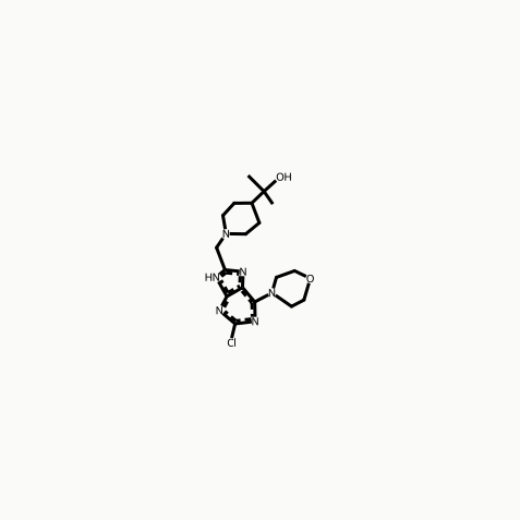 CC(C)(O)C1CCN(Cc2nc3c(N4CCOCC4)nc(Cl)nc3[nH]2)CC1